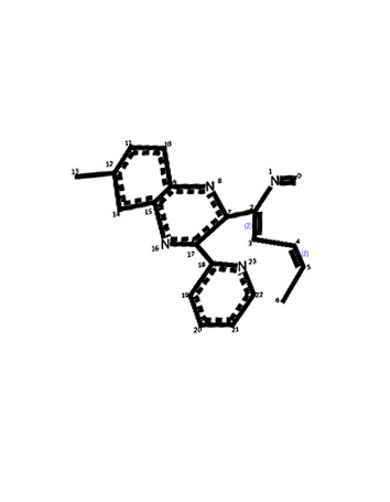 C=N/C(=C\C=C/C)c1nc2ccc(C)cc2nc1-c1ccccn1